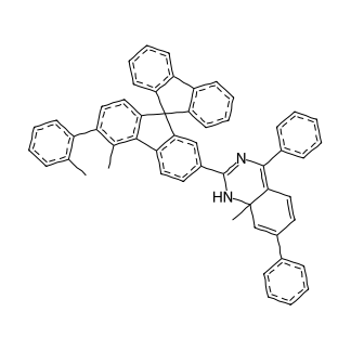 Cc1ccccc1-c1ccc2c(c1C)-c1ccc(C3=NC(c4ccccc4)=C4C=CC(c5ccccc5)=CC4(C)N3)cc1C21c2ccccc2-c2ccccc21